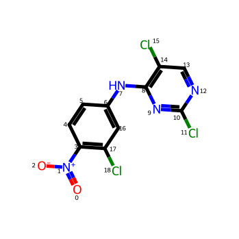 O=[N+]([O-])c1ccc(Nc2nc(Cl)ncc2Cl)cc1Cl